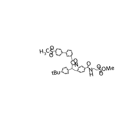 COS(=O)(=O)CCNC(=O)c1ccc(CC(c2ccc(C(C)(C)C)cc2)c2cc(-c3cccc(-c4ccc(S(C)(=O)=O)cc4)c3)on2)cc1